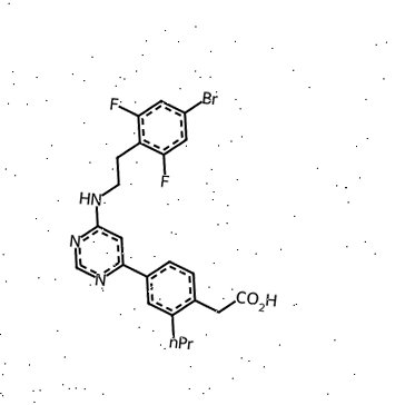 CCCc1cc(-c2cc(NCCc3c(F)cc(Br)cc3F)ncn2)ccc1CC(=O)O